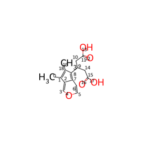 Cc1c2coccc-2c(C(CC(=O)O)CC(=O)O)c1C